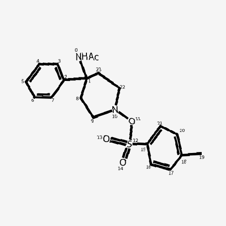 CC(=O)NC1(c2ccccc2)CCN(OS(=O)(=O)c2ccc(C)cc2)CC1